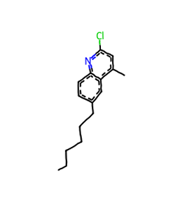 CCCCCCc1ccc2nc(Cl)cc(C)c2c1